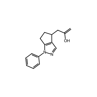 C=C(O)CC1CCc2c1cnn2-c1ccccc1